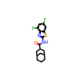 O=C(Nc1nc2c(F)cc(F)cc2s1)C1CC2CCCC(C2)C1